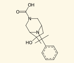 CC1(O)CC2CN(C(=O)O)CC1N2C(C)(C)c1ccccc1